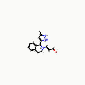 Cc1cc(C2c3ccccc3CCN2C=CC=O)[nH]n1